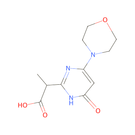 CC(C(=O)O)c1nc(N2CCOCC2)cc(=O)[nH]1